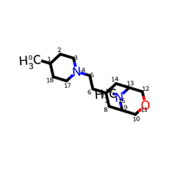 CC1CCN(CCC2CC3COCC(C2)N3C)CC1